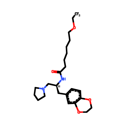 O=C(CCCCCCOCC(F)(F)F)N[C@@H](Cc1ccc2c(c1)OCCO2)CN1CCCC1